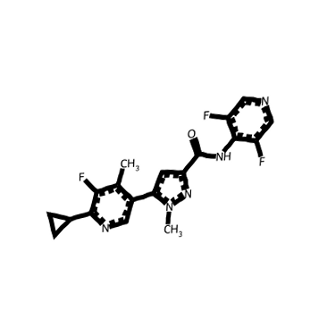 Cc1c(-c2cc(C(=O)Nc3c(F)cncc3F)nn2C)cnc(C2CC2)c1F